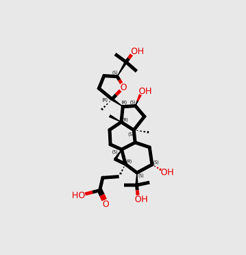 CC(C)(O)[C@@H]1CC[C@](C)([C@H]2[C@@H](O)C[C@@]3(C)C4C[C@H](O)[C@@H](C(C)(C)O)[C@@]5(CCC(=O)O)C[C@@]45CC[C@]23C)O1